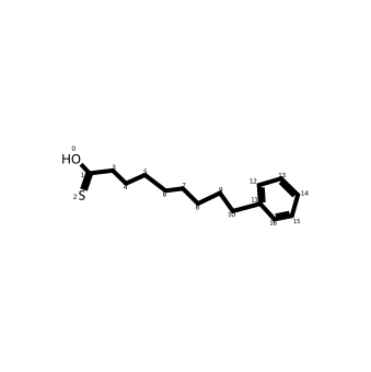 OC(=S)CCCCCCCCc1ccccc1